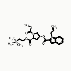 C=CCn1c(C(=O)O[C@@H]2C[C@@H](C(=O)OCC[Si](C)(C)C)N(C(=O)OC(C)(C)C)C2)cc2ccccc21